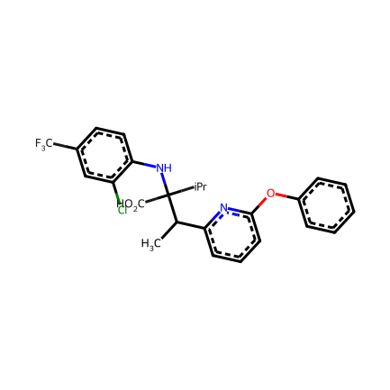 CC(C)C(Nc1ccc(C(F)(F)F)cc1Cl)(C(=O)O)C(C)c1cccc(Oc2ccccc2)n1